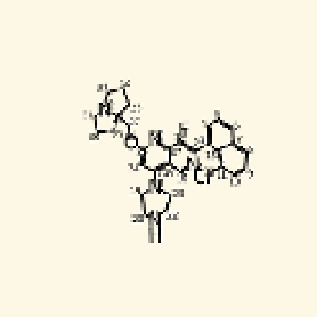 Fc1c(-c2cccc3cccc(Cl)c23)ncc2c(N3CCNCC3)cc(OCC34CCCN3CCC4)nc12